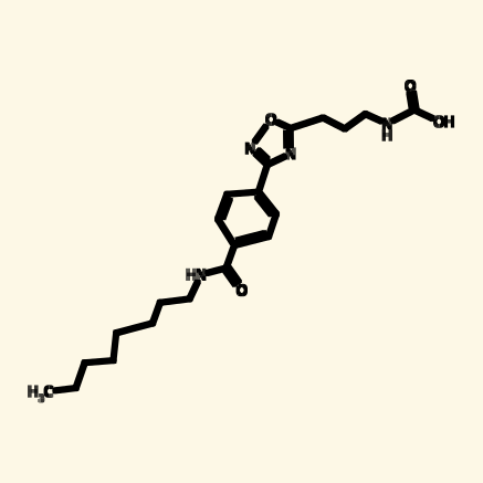 CCCCCCCCNC(=O)c1ccc(-c2noc(CCCNC(=O)O)n2)cc1